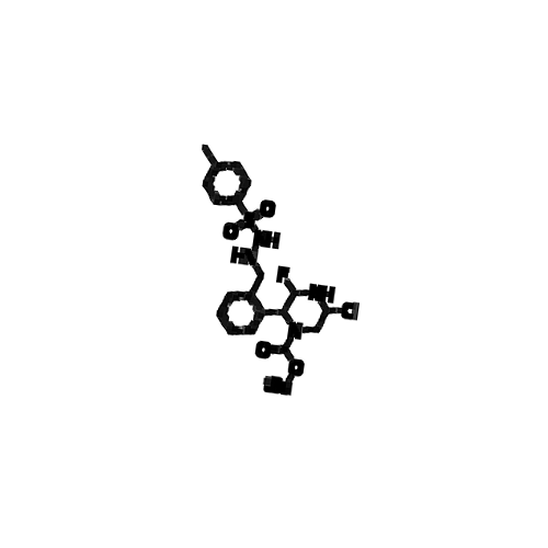 Cc1ccc(S(=O)(=O)NNCc2ccccc2C2C(F)NC(Cl)CN2C(=O)OC(C)(C)C)cc1